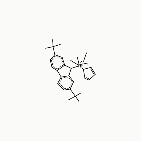 C[Si](C)=[Hf]([CH3])([CH3])([CH]1C=CC=C1)[CH]1c2cc(C(C)(C)C)ccc2-c2ccc(C(C)(C)C)cc21